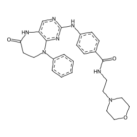 O=C1CCN(c2ccccc2)c2nc(Nc3ccc(C(=O)NCCN4CCOCC4)cc3)ncc2N1